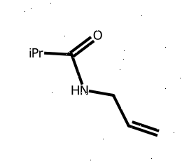 C=CCNC(=O)C(C)C